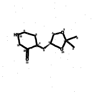 CC1(C)OC[C@@H](CN2CCNCC2=O)O1